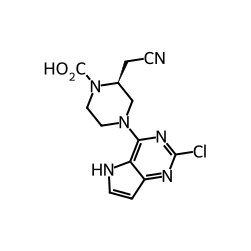 N#CC[C@H]1CN(c2nc(Cl)nc3cc[nH]c23)CCN1C(=O)O